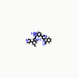 C=C/C=C(/c1ccncc1)c1cc(-c2n[nH]c(=C/C)/c2=C\C(=C)c2cncc(NC(=C)C3CCCCC3)c2)[nH]c1C